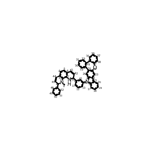 CN1c2c(ccc3c2NC(c2cccc(-n4c5ccccc5c5cc6c(cc54)-c4ccccc4-c4ccccc4O6)c2)C=C3)C=CC1c1ccccc1